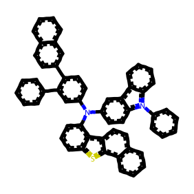 c1ccc(-c2cc(N(c3ccc4c(c3)c3ccccc3n4-c3ccccc3)c3cccc4sc5c6ccccc6ccc5c34)ccc2-c2ccc3ccccc3c2)cc1